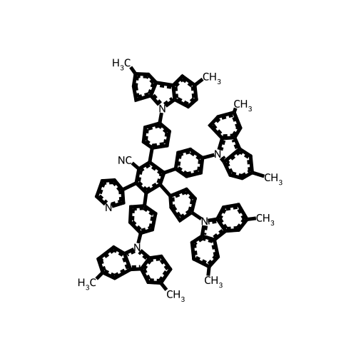 Cc1ccc2c(c1)c1cc(C)ccc1n2-c1ccc(-c2c(C#N)c(-c3cccnc3)c(-c3ccc(-n4c5ccc(C)cc5c5cc(C)ccc54)cc3)c(-c3ccc(-n4c5ccc(C)cc5c5cc(C)ccc54)cc3)c2-c2ccc(-n3c4ccc(C)cc4c4cc(C)ccc43)cc2)cc1